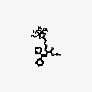 CC(C)(C)OC(=O)C(CCCCB1OC(C)(C)C(C)(C)O1)N=C(c1ccccc1)c1ccccc1